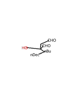 CCCC/C=C(/CCC=CC=CCCCCCCCCCC)CCCCC(CCC=C/C=C\CCCCCCCCCC=O)(CCCCC=O)CCCCCCCCCCCCCCC=CO